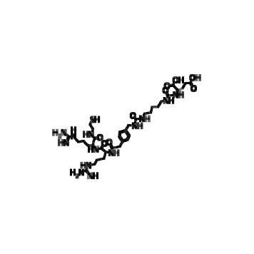 N=C(N)NCCCC(NC(=O)Cc1ccc(CNC(=O)NCCCCCNC(=O)N[C@@H](CCC(=O)O)C(=O)O)cc1)C(=O)N[C@@H](CCCNC(=N)N)C(=O)NCCS